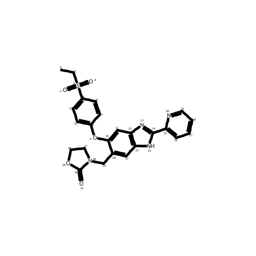 CCS(=O)(=O)c1ccc(Oc2cc3nc(-c4ccccn4)[nH]c3cc2CN2CCOC2=O)cc1